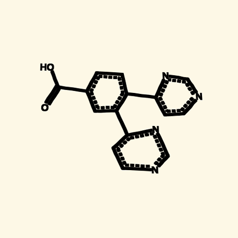 O=C(O)c1ccc(-c2ccncn2)c(-c2ccncn2)c1